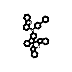 c1ccc(-c2ccc(N(c3ccc4c(c3)-c3ccccc3C43c4ccc5ccccc5c4Oc4c3ccc3ccccc43)c3cccc4c3sc3ccccc34)cc2)cc1